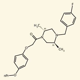 CCCOc1ccc(OCC(=O)N2C[C@H](C)N(Cc3ccc(F)cc3)C[C@H]2C)cc1